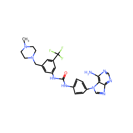 CN1CCN(Cc2cc(NC(=O)Nc3ccc(-n4cnc5ncnc(N)c54)cc3)cc(C(F)(F)F)c2)CC1